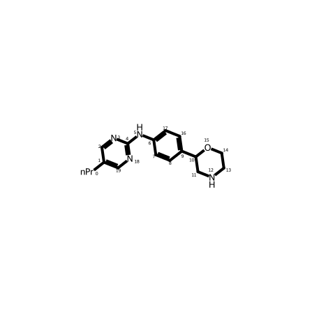 CCCc1cnc(Nc2ccc(C3CNCCO3)cc2)nc1